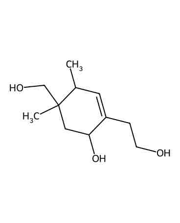 CC1C=C(CCO)C(O)CC1(C)CO